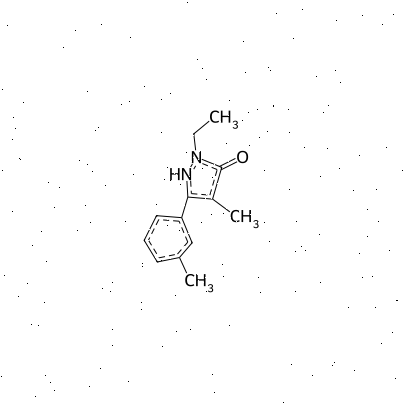 CCn1[nH]c(-c2cccc(C)c2)c(C)c1=O